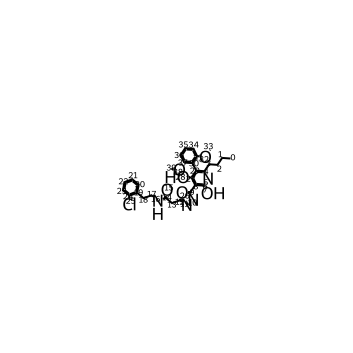 CCCCc1nc(O)c(-c2nnc(CC(=O)NCCc3ccccc3Cl)o2)c(O)c1-c1c(OC)cccc1OC